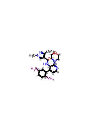 COc1nn(C)cc1C(=O)Nc1c(-c2cc(P)ccc2P)ccnc1N1CCOCC1